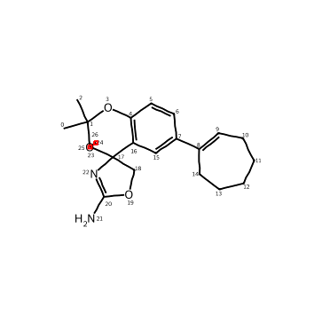 CC1(C)Oc2ccc(C3=CCCCCC3)cc2C2(COC(N)=N2)C12COC2